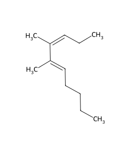 CCC=C(C)C(C)=CCCCC